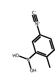 [C-]#[N+]c1ccc(C)c(B(O)O)c1